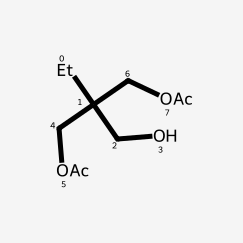 CCC(CO)(COC(C)=O)COC(C)=O